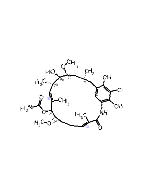 CO[C@H]1C[C@H](C)Cc2cc(c(O)c(Cl)c2O)NC(=O)/C(C)=C/CC[C@H](OC)[C@@H](OC(N)=O)/C(C)=C/[C@H](C)[C@H]1O